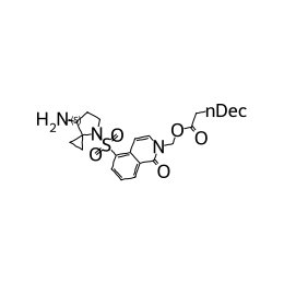 CCCCCCCCCCCC(=O)OCn1ccc2c(S(=O)(=O)N3CC[C@H](N)C34CC4)cccc2c1=O